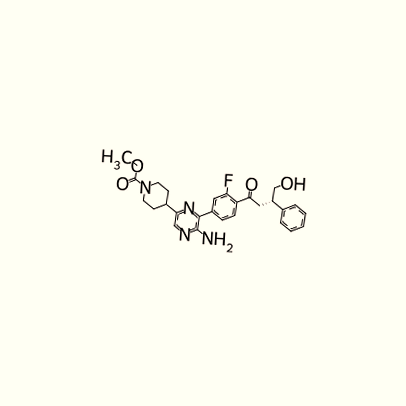 COC(=O)N1CCC(c2cnc(N)c(-c3ccc(C(=O)C[C@H](CO)c4ccccc4)c(F)c3)n2)CC1